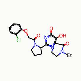 CCN1CCn2c(C3CCCN3C(=O)COc3ccccc3Cl)nc(=O)c(O)c2C1=O